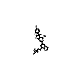 COc1nc(-c2cn3ccnc3c(CCC(F)(F)C(F)(F)F)n2)nc2c1C(C)(c1ccc(F)cc1)C(=O)N2